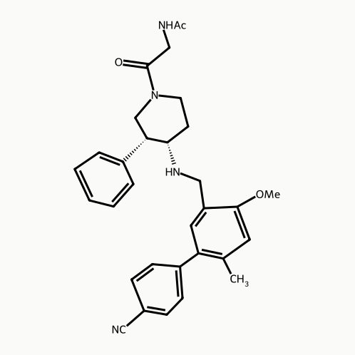 COc1cc(C)c(-c2ccc(C#N)cc2)cc1CN[C@H]1CCN(C(=O)CNC(C)=O)C[C@H]1c1ccccc1